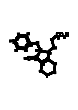 O=C(O)CSC1C2=C(CCCC2)C(=O)N1Cc1ccncc1